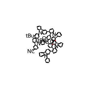 CC(C)(C)c1cc(-n2c3ccccc3c3cc(-c4cccc(-n5c6ccccc6c6ccccc65)c4-c4cc5c6c(c4)Oc4cc(-n7c8ccccc8c8cc(C#N)ccc87)ccc4B6c4ccc(-c6c(-c7ccc8c9ccccc9n(-c9ccccc9)c8c7)cccc6-n6c7ccccc7c7ccccc76)cc4O5)ccc32)cc(C(C)(C)C)c1